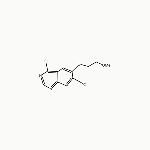 COCCSc1cc2c(Cl)ncnc2cc1Cl